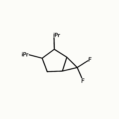 CC(C)C1CC2C(C1C(C)C)C2(F)F